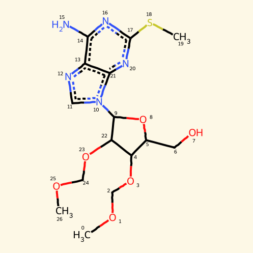 COCOC1C(CO)OC(n2cnc3c(N)nc(SC)nc32)C1OCOC